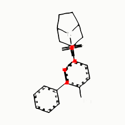 CC(C)(C)c1ccc(S(=O)(=O)N2C3CCC2CC(=NOCc2ccccc2)C3)cc1